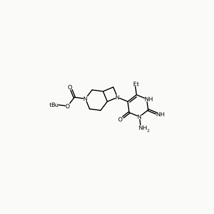 CCc1[nH]c(=N)n(N)c(=O)c1N1CC2CN(C(=O)OC(C)(C)C)CCC21